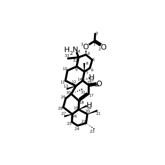 CC(=O)O[C@@H]1CC[C@@]2(C)C(CC[C@]3(C)[C@@H]2C(=O)C=C2[C@@H]4[C@@H](C)[C@H](C)CC[C@]4(C)CC[C@]23C)C1(C)N